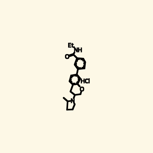 CCNC(=O)c1cccc(-c2ccc3c(c2)OCC(N2CCCC2C)C3)c1.Cl